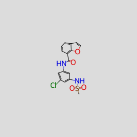 CS(=O)(=O)Nc1cc(Cl)cc(NC(=O)c2cccc3ccoc23)c1